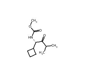 COC(=O)N[C@H](C(=O)C(C)C)C1CCC1